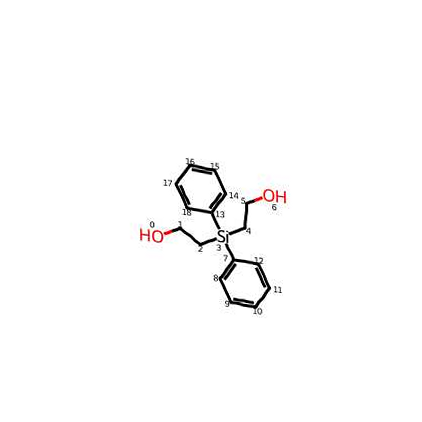 OCC[Si](CCO)(c1ccccc1)c1ccccc1